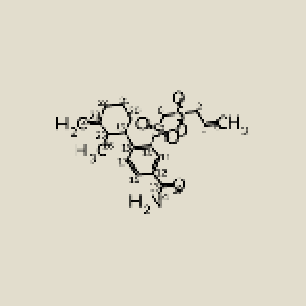 C=CCS(=O)(=O)CS(=O)(=O)c1cc(C(N)=O)ccc1C1CCCC(=C)C1C